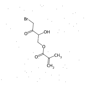 C=C(C)C(=O)OCC(O)C(=O)CBr